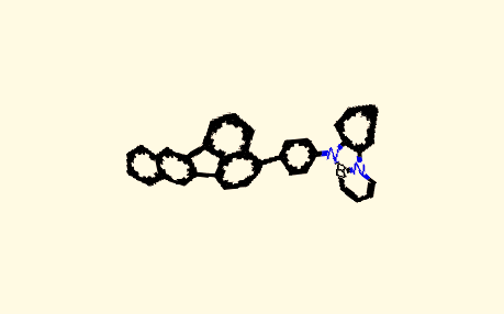 C1=CB2N(C=C1)c1ccccc1N2c1ccc(-c2ccc3c4c(cccc24)-c2cc4ccccc4cc2-3)cc1